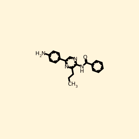 CCCc1nc(-c2ccc(N)cc2)cnc1NC(=O)c1ccccc1